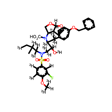 [2H]CC([2H])(C)C([2H])([2H])N(C([2H])([2H])[C@@]([2H])(O[2H])[C@@]([2H])(N(C(=O)O)C1CO[C@@H]2OC=C[C@@H]12)C([2H])([2H])c1ccc(OCc2ccccc2)cc1)S(=O)(=O)c1c([2H])c([2H])c(OC([2H])([2H])[2H])c(F)c1[2H]